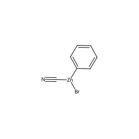 N#[C][Zn]([Br])[c]1ccccc1